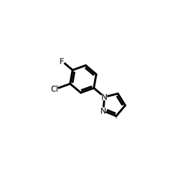 Fc1ccc(-n2cc[c]n2)cc1Cl